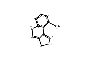 CC(=O)Oc1cccc2c1C1=NNCC1=CO2